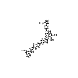 CCCc1cc(N[C@@H]2CC[C@@H](NC(=O)c3ccc(-c4ccc(CNC(C(=O)N5C[C@H](O)C[C@H]5C(=O)NCc5ccc(-c6scnc6C)cc5)C(C)(C)C)cc4)cc3)C2)n2nccc2n1